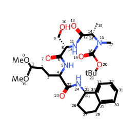 COC(CCC(NC(=O)[C@H](CO)NC(=O)[C@H](C)N(C)C(=O)OC(C)(C)C)C(=O)N[C@@H]1CCCc2ccccc21)OC